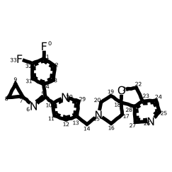 Fc1ccc(/C(=N\C2CC2)c2ccc(CN3CCC4(CC3)OCc3ccncc34)cn2)cc1F